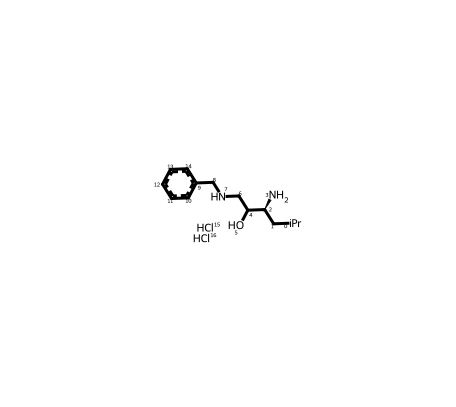 CC(C)C[C@H](N)C(O)CNCc1ccccc1.Cl.Cl